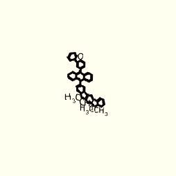 CC1(C)c2ccccc2-c2cc3c(cc21)C(C)(C)c1ccc(-c2c4ccccc4c(-c4ccc5oc6ccccc6c5c4)c4ccccc24)cc1-3